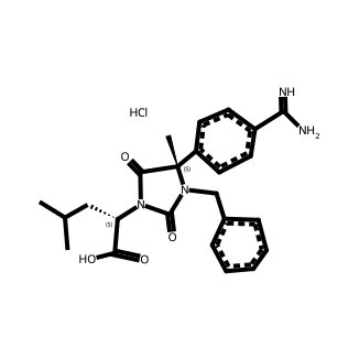 CC(C)C[C@@H](C(=O)O)N1C(=O)N(Cc2ccccc2)[C@@](C)(c2ccc(C(=N)N)cc2)C1=O.Cl